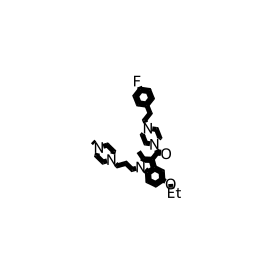 CCOc1ccc2c(c1)c(C(=O)N1CCN(CCc3ccc(F)cc3)CC1)c(C)n2CCCN1CCN(C)CC1